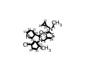 CCN(c1nc(CN(C(=O)c2cccnc2)c2cc(Cl)ccc2C)cs1)C1CC1